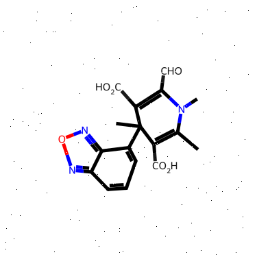 CC1=C(C(=O)O)C(C)(c2cccc3nonc23)C(C(=O)O)=C(C=O)N1C